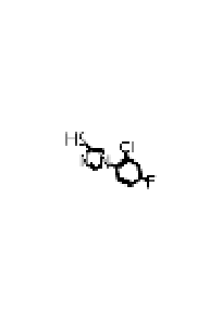 Fc1ccc(-n2cnc(S)c2)c(Cl)c1